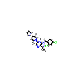 Cc1nn(C(C)c2ccc(Cl)cc2Cl)c2nc(N3C[C@@H](C)[C@@H](N4CCCC4)C[C@@H]3C)cnc12